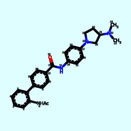 CC(=O)Nc1ccccc1-c1ccc(C(=O)Nc2ccc(N3CCC(N(C)C)C3)cc2)cc1